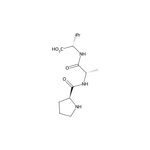 CC(C)[C@H](NC(=O)[C@H](C)NC(=O)[C@@H]1CCCN1)C(=O)O